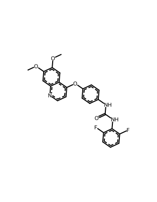 COc1cc2nccc(Oc3ccc(NC(=O)Nc4c(F)cccc4F)cc3)c2cc1OC